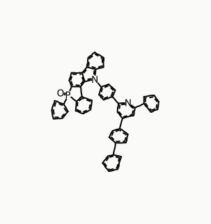 O=P1(c2ccccc2)c2ccccc2-c2c1ccc1c3ccccc3n(-c3ccc(-c4cc(-c5ccc(-c6ccccc6)cc5)cc(-c5ccccc5)n4)cc3)c21